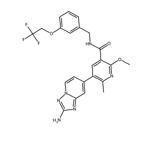 COc1nc(C)c(-c2ccn3nc(N)nc3c2)cc1C(=O)NCc1cccc(OCC(F)(F)F)c1